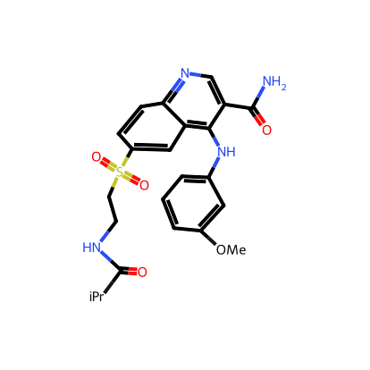 COc1cccc(Nc2c(C(N)=O)cnc3ccc(S(=O)(=O)CCNC(=O)C(C)C)cc23)c1